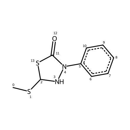 CSC1NN(c2ccccc2)C(=O)S1